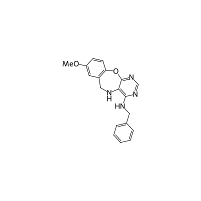 COc1ccc2c(c1)CNc1c(NCc3ccccc3)ncnc1O2